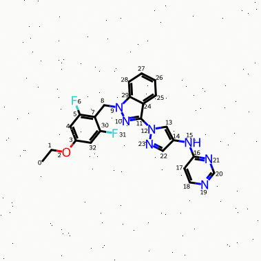 CCOc1cc(F)c(Cn2nc(-n3cc(Nc4ccncn4)cn3)c3ccccc32)c(F)c1